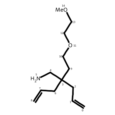 C=CCC(CN)(CC=C)CCOCCOC